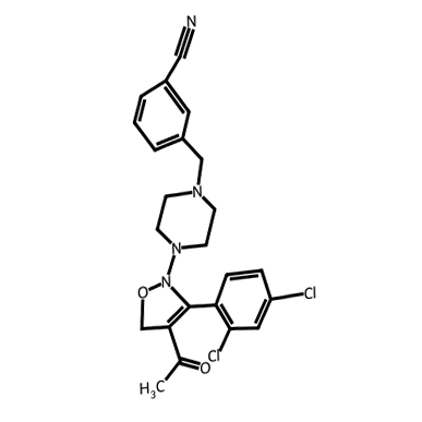 CC(=O)C1=C(c2ccc(Cl)cc2Cl)N(N2CCN(Cc3cccc(C#N)c3)CC2)OC1